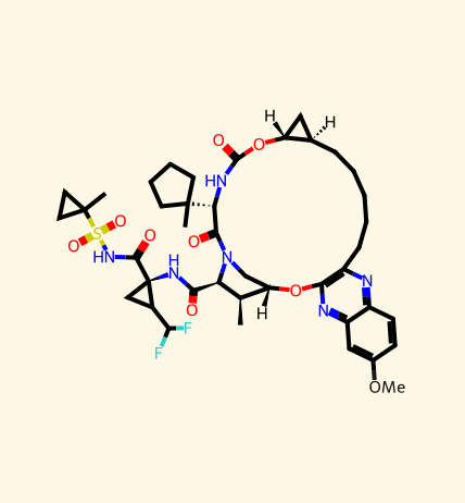 COc1ccc2nc3c(nc2c1)O[C@H]1CN(C(=O)[C@H](C2(C)CCCC2)NC(=O)O[C@@H]2C[C@H]2CCCCC3)[C@H](C(=O)N[C@]2(C(=O)NS(=O)(=O)C3(C)CC3)CC2C(F)F)[C@@H]1C